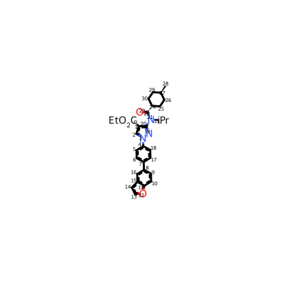 CCOC(=O)c1cn(-c2ccc(-c3ccc4occc4c3)cc2)nc1N(C(=O)[C@H]1CC[C@H](C)CC1)C(C)C